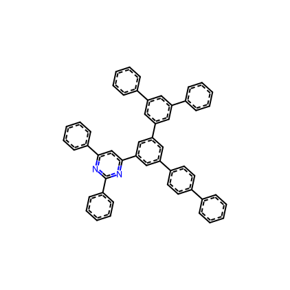 c1ccc(-c2ccc(-c3cc(-c4cc(-c5ccccc5)cc(-c5ccccc5)c4)cc(-c4cc(-c5ccccc5)nc(-c5ccccc5)n4)c3)cc2)cc1